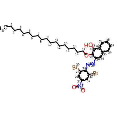 CCCCCCCCCCCCCCCCCCOc1c(N=Nc2c(Br)cc([N+](=O)[O-])cc2Br)cc2ccccc2c1O